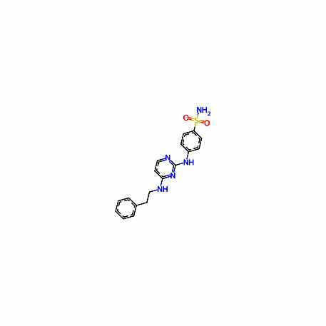 NS(=O)(=O)c1ccc(Nc2nccc(NCCc3ccccc3)n2)cc1